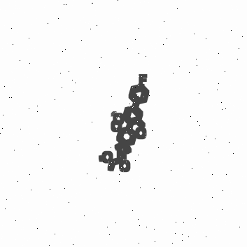 COc1cc(-c2ccc(F)cc2)cc(C)c1C1C(=O)CC2(CC1=O)CN(C(=O)C(C)OC)C2